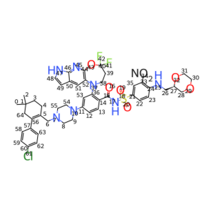 CC1(C)CCC(CN2CCN(c3ccc(C(=O)NS(=O)(=O)c4ccc(NC[C@@H]5COCCO5)c([N+](=O)[O-])c4)c(N4CCC(F)(F)Oc5nc6[nH]ccc6cc54)c3)CC2)=C(c2ccc(Cl)cc2)C1